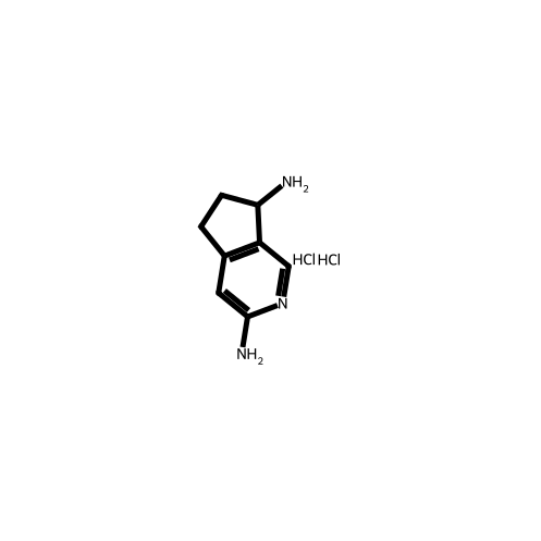 Cl.Cl.Nc1cc2c(cn1)C(N)CC2